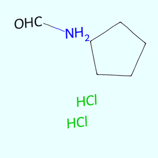 C1CCCC1.Cl.Cl.NC=O